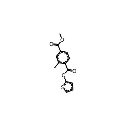 COC(=O)c1ccc(C(=O)Oc2cccs2)c(C)c1